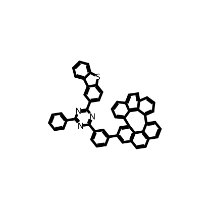 c1ccc(-c2nc(-c3cccc(-c4cc5ccc6cccc7c8cccc9ccc%10cccc(c(c4)c5c67)c%10c98)c3)nc(-c3ccc4sc5ccccc5c4c3)n2)cc1